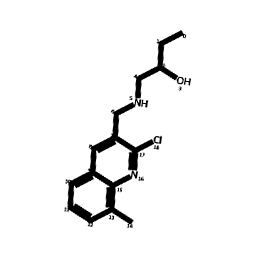 CCC(O)CNCc1cc2cccc(C)c2nc1Cl